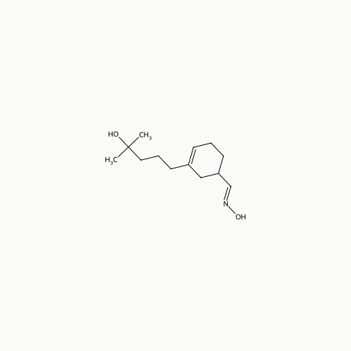 CC(C)(O)CCCC1=CCCC(/C=N/O)C1